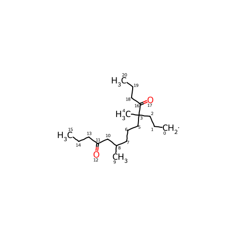 [CH2]CCC(C)(CCCC(C)CC(=O)CCC)C(=O)CCC